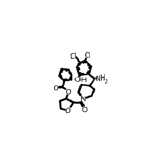 N[C@@H](c1cc(Cl)c(Cl)cc1O)C1CCN(C(=O)C2OCCC2OC(=O)c2ccccc2)CC1